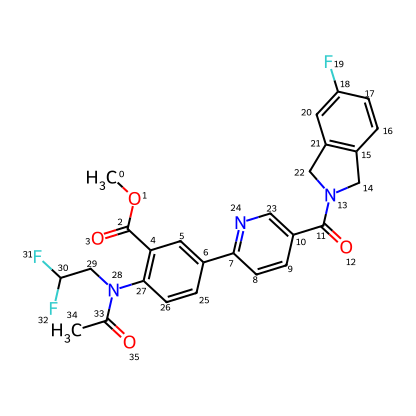 COC(=O)c1cc(-c2ccc(C(=O)N3Cc4ccc(F)cc4C3)cn2)ccc1N(CC(F)F)C(C)=O